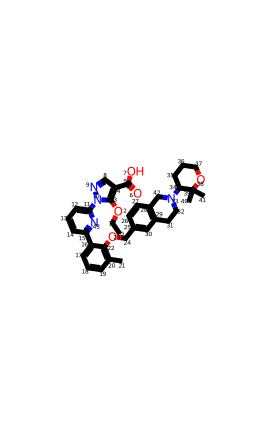 CCOc1c(C(=O)O)cnn1-c1cccc(-c2cccc(C)c2OCc2ccc3c(c2)CCN(C2CCCOC2(C)C)C3)n1